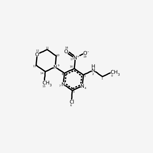 CCNc1nc(Cl)nc(N2CCOCC2C)c1[N+](=O)[O-]